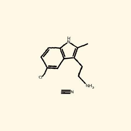 C#N.Cc1[nH]c2ccc(Cl)cc2c1CCN